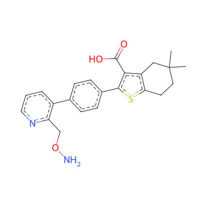 CC1(C)CCc2sc(-c3ccc(-c4cccnc4CON)cc3)c(C(=O)O)c2C1